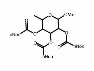 CCCCCCCCCC(=O)OC1C(C)OC(OC)C(OC(=O)CCCCCCCCC)C1OC(=O)CCCCCCCCC